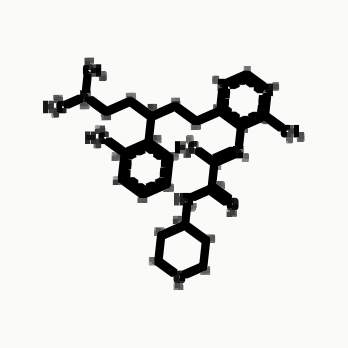 C/C(=N\c1c(C)ncnc1CCC(CCN(C)C)c1ccccc1C)C(=O)NC1CCOCC1